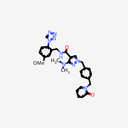 COc1ccc(-n2cnnn2)c(CNC(=O)c2cn(Cc3ccc(Cn4ccccc4=O)cc3)nc2N(C)C)c1